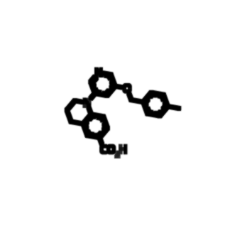 Cc1ccc(COc2cncc(N3CCCc4cc(C(=O)O)ccc43)c2)cc1